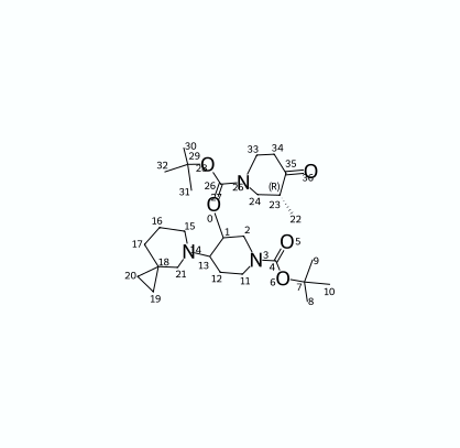 CC1CN(C(=O)OC(C)(C)C)CCC1N1CCCC2(CC2)C1.C[C@@H]1CN(C(=O)OC(C)(C)C)CCC1=O